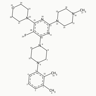 Cc1cccc(N2CCN(c3nc(N4CCN(C)CC4)nc(N4CCOCC4)c3F)CC2)c1C